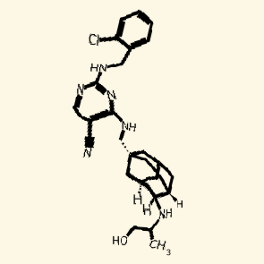 CC(CO)N[C@@H]1[C@@H]2CC3C[C@H]1C[C@](CNc1nc(NCc4ccccc4Cl)ncc1C#N)(C3)C2